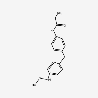 NCC(=O)Nc1ccc(Sc2ccc(NOO)cc2)cc1